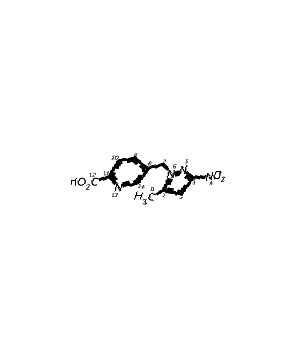 Cc1cc([N+](=O)[O-])nn1Cc1ccc(C(=O)O)nc1